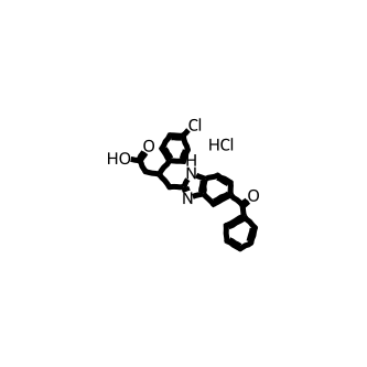 Cl.O=C(O)CC(Cc1nc2cc(C(=O)c3ccccc3)ccc2[nH]1)c1ccc(Cl)cc1